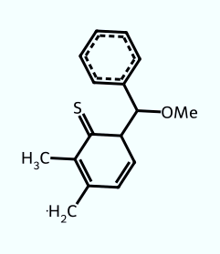 [CH2]C1=C(C)C(=S)C(C(OC)c2ccccc2)C=C1